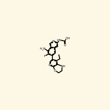 CCc1c(-c2cc3cc(NC(=O)O)ncc3c(N)c2F)cnc2c1NCCO2